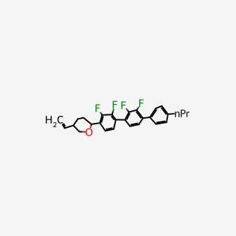 C=CC1CCC(c2ccc(-c3ccc(-c4ccc(CCC)cc4)c(F)c3F)c(F)c2F)OC1